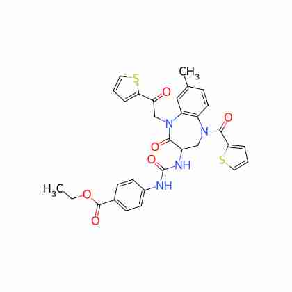 CCOC(=O)c1ccc(NC(=O)NC2CN(C(=O)c3cccs3)c3ccc(C)cc3N(CC(=O)c3cccs3)C2=O)cc1